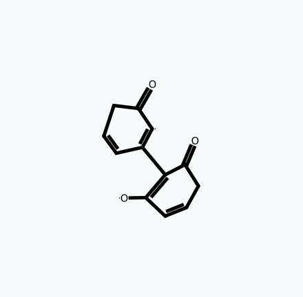 [O]C1=C(C2=[C]C(=O)CC=C2)C(=O)CC=C1